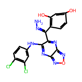 N/N=C(\c1ccc(O)cc1O)c1nc2nonc2nc1Nc1ccc(Cl)c(Cl)c1